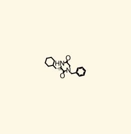 O=C1CN(Cc2ccccc2)C(=O)[C@H](CC2CCCCC2)N1